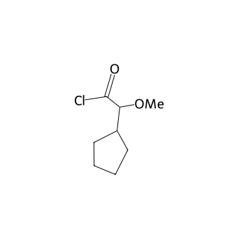 COC(C(=O)Cl)C1CCCC1